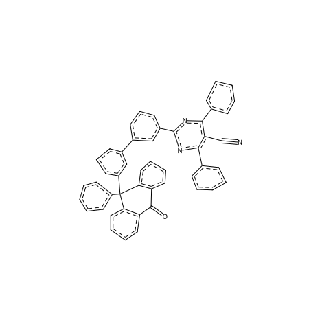 N#Cc1c(-c2ccccc2)nc(-c2cccc(-c3cccc(C4(c5ccccc5)c5ccccc5C(=O)c5ccccc54)c3)c2)nc1-c1ccccc1